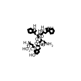 NC(=O)C[C@H](NC(=O)[C@H](Cc1ccc(O)cc1)NC(=O)[C@H](CC(N)=O)NC(=O)[C@H](Cc1c[nH]c2ccccc12)NC(=O)[C@@H](N)Cc1c[nH]c2ccccc12)C(=O)O